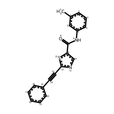 Cc1cccc(NC(=O)c2cnc(C#Cc3ccccc3)s2)c1